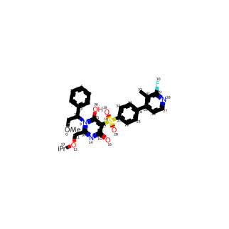 COCC(c1ccccc1)n1c(COC(C)C)nc(=O)c(S(=O)(=O)c2ccc(-c3ccnc(F)c3C)cc2)c1O